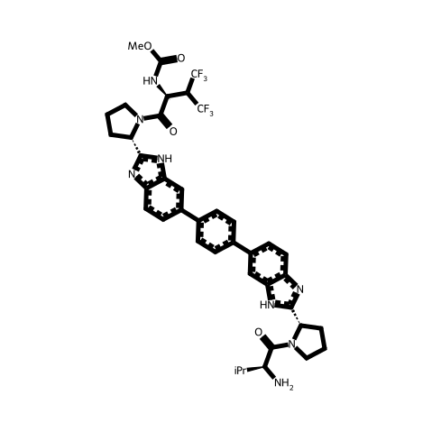 COC(=O)N[C@H](C(=O)N1CCC[C@H]1c1nc2ccc(-c3ccc(-c4ccc5nc([C@@H]6CCCN6C(=O)[C@@H](N)C(C)C)[nH]c5c4)cc3)cc2[nH]1)C(C(F)(F)F)C(F)(F)F